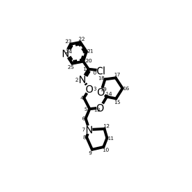 ClC(=NOCC(CN1CCCCC1)OC1CCCCO1)c1cccnc1